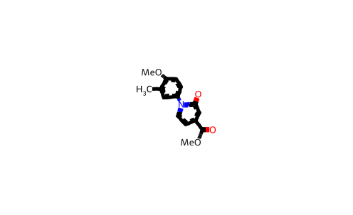 COC(=O)c1ccn(-c2ccc(OC)c(C)c2)c(=O)c1